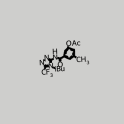 CCC(C)n1c(NC(=O)c2cc(C)cc(OC(C)=O)c2)nnc1C(F)(F)F